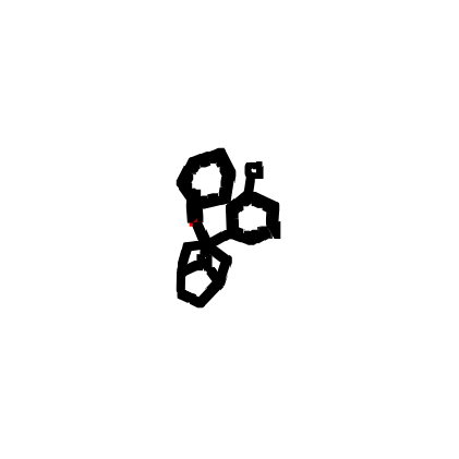 N#CC1(c2cncc(Cl)c2)CC2CCC(C1)N2CCc1ccccc1